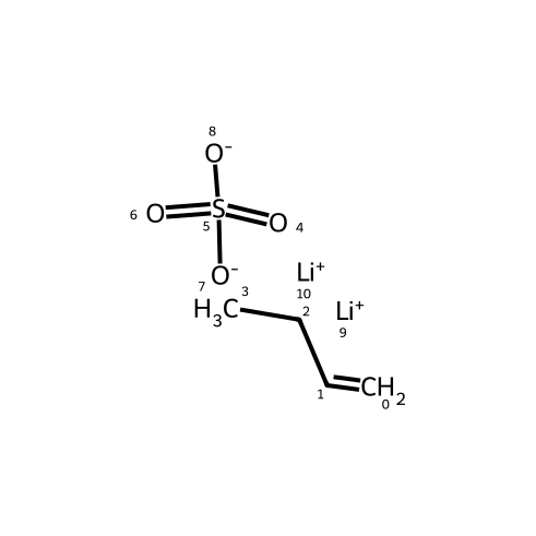 C=CCC.O=S(=O)([O-])[O-].[Li+].[Li+]